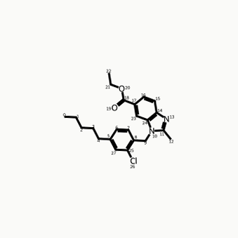 CCCCCc1ccc(Cn2c(C)nc3ccc(C(=O)OCC)cc32)c(Cl)c1